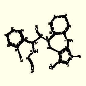 Cn1nc(Cl)c2c1Nc1ccccc1N(C(=O)C(NC=O)c1ccccc1F)C2